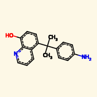 CC(C)(c1ccc(N)cc1)c1ccc(O)c2ncccc12